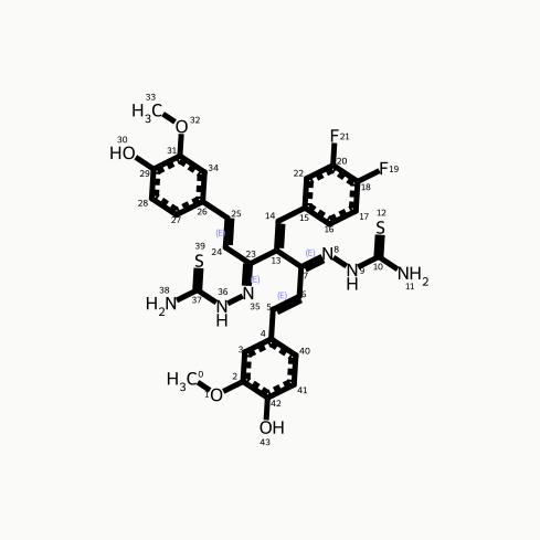 COc1cc(/C=C/C(=N\NC(N)=S)C(=Cc2ccc(F)c(F)c2)C(/C=C/c2ccc(O)c(OC)c2)=N/NC(N)=S)ccc1O